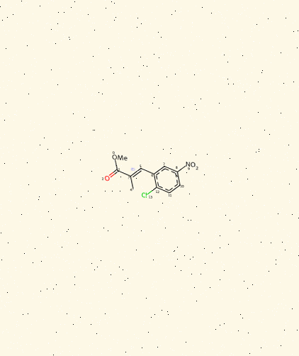 COC(=O)/C(C)=C/c1cc([N+](=O)[O-])ccc1Cl